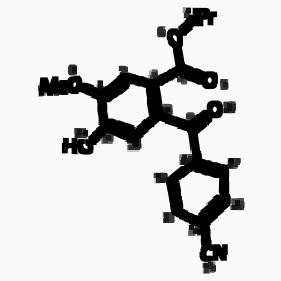 COc1cc(C(=O)OC(C)C)c(C(=O)c2ccc(C#N)cc2)cc1O